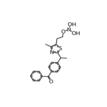 Cc1nc(C(C)c2ccc(C(=O)c3ccccc3)cc2)sc1CCON(O)O